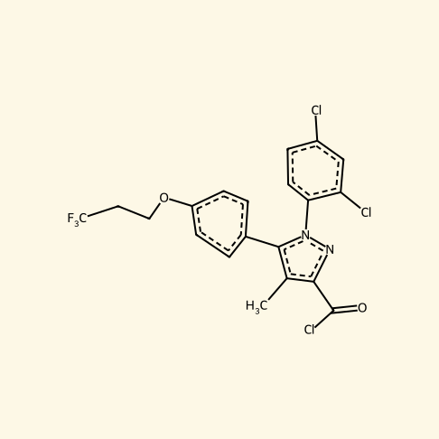 Cc1c(C(=O)Cl)nn(-c2ccc(Cl)cc2Cl)c1-c1ccc(OCCC(F)(F)F)cc1